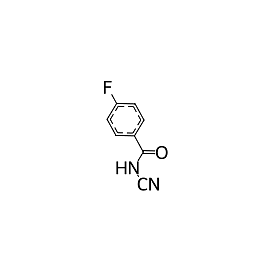 N#CNC(=O)c1ccc(F)cc1